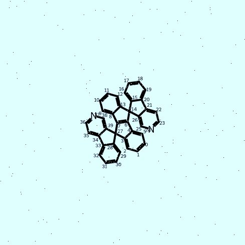 c1ccc2c(c1)C1=C(c3ccccc3C13c1ccccc1-c1ccncc13)C21c2ccccc2-c2ccncc21